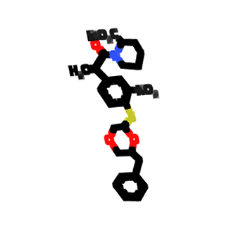 C=C(C(=O)N1CCCCC1C(=O)OCC)c1ccc(SC2COCC(Cc3ccccc3)O2)c([N+](=O)[O-])c1